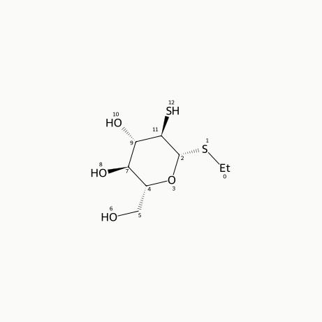 CCS[C@@H]1O[C@H](CO)[C@@H](O)[C@H](O)[C@H]1S